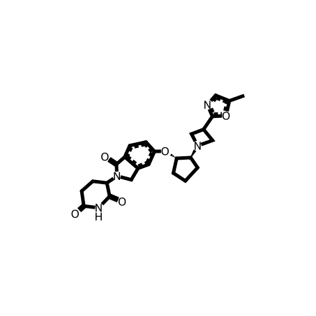 Cc1cnc(C2CN([C@H]3CCC[C@@H]3Oc3ccc4c(c3)CN(C3CCC(=O)NC3=O)C4=O)C2)o1